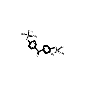 CC(C)(C)[Si](C)(C)Oc1ccc(C(=O)c2ccc(O[Si](C)(C)C(C)(C)C)cc2)cc1